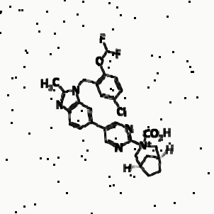 Cc1nc2ccc(-c3cnc([N+]4(C(=O)O)C[C@@H]5CC[C@@H](C5)C4)nc3)cc2n1Cc1cc(Cl)ccc1OC(F)F